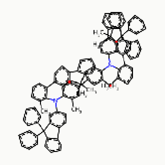 Cc1cc(-c2ccc(N(c3ccc4c(c3)C(c3ccccc3)(c3ccccc3)c3ccccc3-4)c3c(C)cccc3-c3ccc4c(c3)C(C)(C)c3ccccc3-4)c(C)c2)ccc1N(c1ccc2c(c1)C(c1ccccc1)(c1ccccc1)c1ccccc1-2)c1c(C)cccc1-c1ccc2c(c1)C(C)(C)c1ccccc1-2